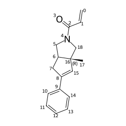 C=CC(=O)N1CC2CC(c3ccccc3)=C[C@@]2(C)C1